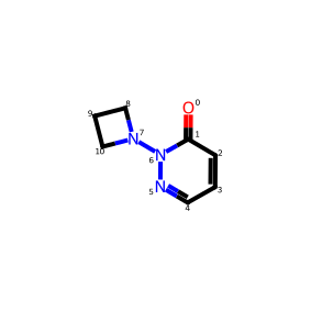 O=c1cccnn1N1CCC1